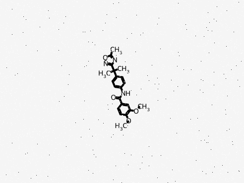 COc1ccc(C(=O)Nc2ccc(C(C)(C)c3noc(C)n3)cc2)cc1OC